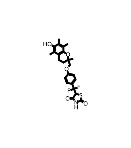 Cc1c(C)c2c(c(C)c1O)CCC(C)(COc1ccc(C(F)(F)C3SC(=O)NC3=O)cc1)O2